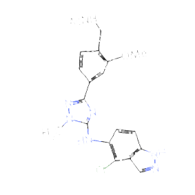 COc1cc(-c2nc(Nc3ccc4[nH]ncc4c3Cl)n(C)n2)ccc1CNC(C)=O